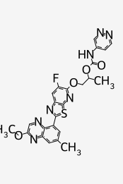 COc1cnc2c(-c3nc4cc(F)c(OCC(C)OC(=O)Nc5ccnnc5)nc4s3)cc(C)cc2n1